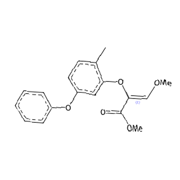 CO/C=C(\Oc1cc(Oc2ccccc2)ccc1C)C(=O)OC